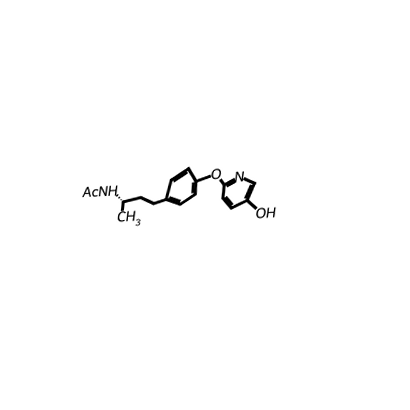 CC(=O)N[C@@H](C)CCc1ccc(Oc2ccc(O)cn2)cc1